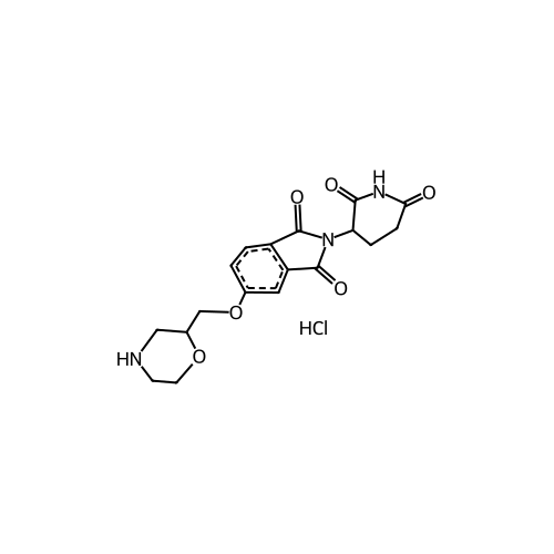 Cl.O=C1CCC(N2C(=O)c3ccc(OCC4CNCCO4)cc3C2=O)C(=O)N1